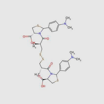 C[C@H](CSSC[C@@H](C)C(=O)N1C(c2ccc(N(C)C)cc2)SC[C@H]1C(=O)O)C(=O)N1C(c2ccc(N(C)C)cc2)SC[C@H]1C(=O)O